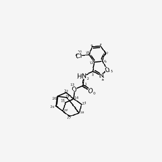 O=C(Nc1noc2cccc(Cl)c12)OC12CC3CC(CC(C3)C1)C2